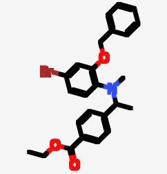 CCOC(=O)c1ccc(C(C)N(C)c2ccc(Br)cc2OCc2ccccc2)cc1